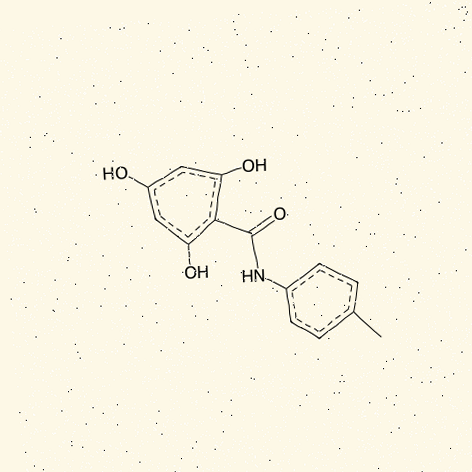 Cc1ccc(NC(=O)c2c(O)cc(O)cc2O)cc1